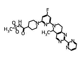 CC1c2cnc(-c3ncccn3)nc2CCN1c1cc(F)cc(N2CCC(C(=O)NS(C)(=O)=O)CC2)n1